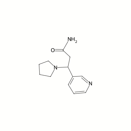 NC(=O)CC(c1cccnc1)N1CCCC1